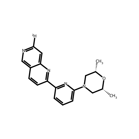 [2H]c1cc2nc(-c3cccc(N4C[C@@H](C)O[C@@H](C)C4)n3)ccc2cn1